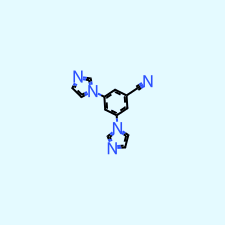 N#Cc1cc(-n2ccnc2)cc(-n2ccnc2)c1